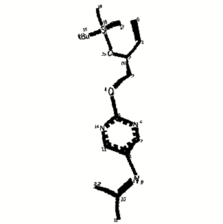 C=C[C@@H](COc1ncc(N=C(C)C)cn1)O[Si](C)(C)C(C)(C)C